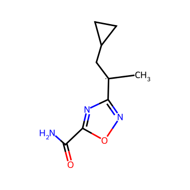 C[C](CC1CC1)c1noc(C(N)=O)n1